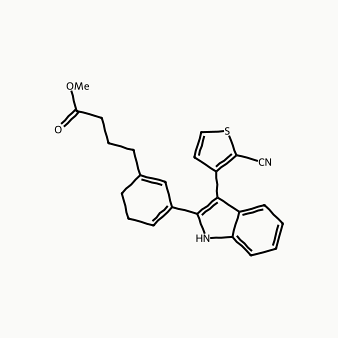 COC(=O)CCCC1=CC(c2[nH]c3ccccc3c2-c2ccsc2C#N)=CCC1